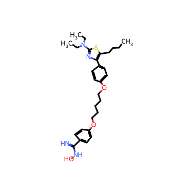 CCCCc1sc(N(CC)CC)nc1-c1ccc(OCCCCCOc2ccc(C(=N)NO)cc2)cc1